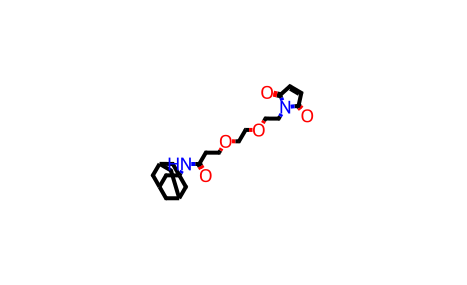 O=C(CCOCCOCCN1C(=O)C=CC1=O)NC12CC3CC(CC(C3)C1)C2